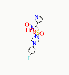 O=CN(O)C(CS(=O)(=O)N1CCN(c2ccc(F)cc2)CC1)c1cccnc1